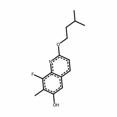 Cc1c(O)cc2ccc(OCCC(C)C)nc2c1F